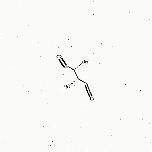 O=C[C@H](O)[C@@H](O)C=O